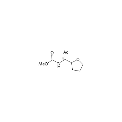 COC(=O)N[C@H](C(C)=O)C1CCCO1